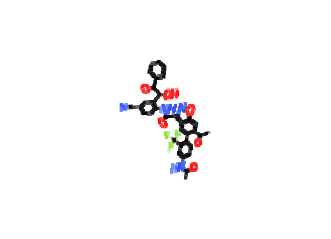 CC(=O)Nc1ccc(-c2cc3c(C(=O)Nc4ccc(C#N)cc4C(O)C(=O)c4ccccc4)noc3cc2C(C)=O)c(C(F)(F)F)c1